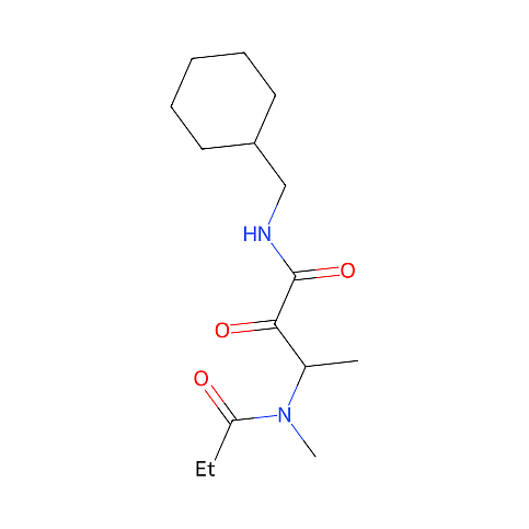 CCC(=O)N(C)C(C)C(=O)C(=O)NCC1CCCCC1